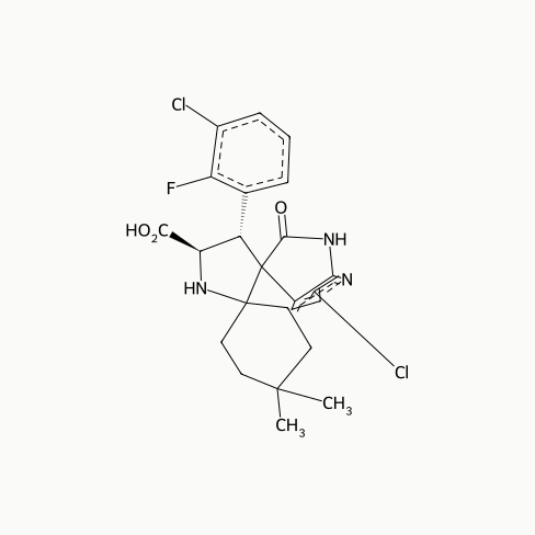 CC1(C)CCC2(CC1)N[C@@H](C(=O)O)[C@H](c1cccc(Cl)c1F)C21C(=O)Nc2nc(Cl)ccc21